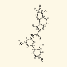 COc1cc(NC(=O)c2cc3ccc(N(C)S(C)(=O)=O)cc3n2C)cc(-c2ccc(F)cc2F)c1